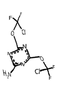 Nc1nc(OC(F)(F)Cl)nc(OC(F)(F)Cl)n1